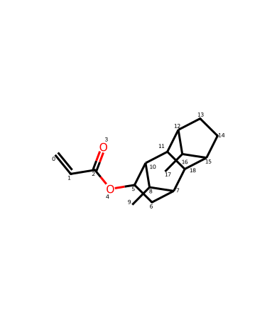 C=CC(=O)OC1CC2C(C)C1C1C3CCC(C3C)C21